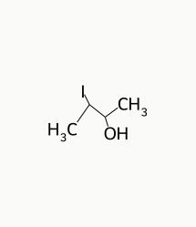 CC(O)C(C)I